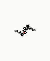 O=C(OCCO)c1ccccc1Sc1cccc2c1C(=O)c1cccc(Sc3ccccc3C(=O)OCCO)c1C2=O